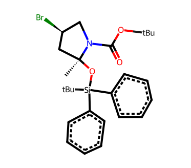 CC(C)(C)OC(=O)N1C[C@H](Br)C[C@]1(C)O[Si](c1ccccc1)(c1ccccc1)C(C)(C)C